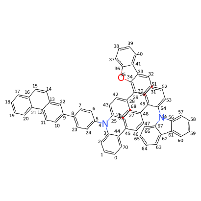 c1ccc(N(c2ccc(-c3ccc4c(ccc5ccccc54)c3)cc2)c2ccc(-c3cccc4c3oc3ccccc34)cc2)c(-c2ccc(-c3ccccc3-n3c4ccccc4c4ccccc43)cc2)c1